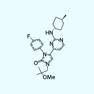 COC(C)(C)Cn1cc(-c2ccnc(N[C@H]3CC[C@H](C)CC3)n2)n(-c2ccc(F)cc2)c1=O